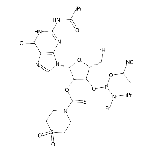 [2H]C[C@H]1O[C@@H](n2cnc3c(=O)[nH]c(NC(=O)C(C)C)nc32)[C@@H](OC(=S)N2CCS(=O)(=O)CC2)C1OP(OC(C)[N+]#[C-])N(C(C)C)C(C)C